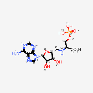 Nc1ncnc2c1ncn2[C@@H]1O[C@H](CNC(COP(=O)(O)O)C(=O)O)[C@@H](O)[C@H]1O